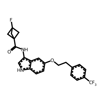 O=C(Nc1c[nH]c2ccc(OCCc3ccc(C(F)(F)F)cc3)cc12)C12CC(F)(C1)C2